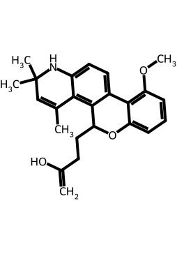 C=C(O)CCC1Oc2cccc(OC)c2-c2ccc3c(c21)C(C)=CC(C)(C)N3